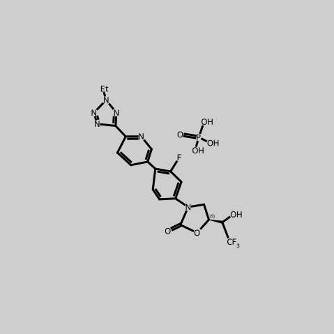 CCn1nnc(-c2ccc(-c3ccc(N4C[C@@H](C(O)C(F)(F)F)OC4=O)cc3F)cn2)n1.O=P(O)(O)O